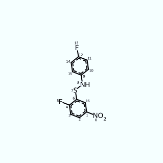 O=[N+]([O-])c1ccc(F)c(SNc2ccc(F)cc2)c1